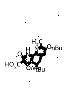 CCCCOc1cc2c(nc1C)-c1[nH]c(=O)c(C(=O)O)c(OC)c1C(C(C)(C)C)C2